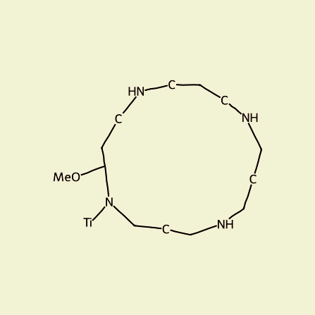 COC1CCNCCCNCCCNCCC[N]1[Ti]